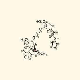 C[C@H]1[C@@H](OCCCOc2cc(NC(=O)Cn3cncn3)ccc2C(=O)O)O[C@@H]2O[C@@]3(C)CCC4[C@H](C)CC[C@@H]1[C@]42OO3